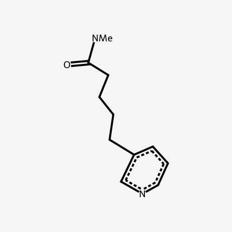 [CH2]NC(=O)CCCCc1cccnc1